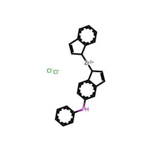 C1=C[CH]([Zr+2][CH]2C=Cc3cc(Pc4ccccc4)ccc32)c2ccccc21.[Cl-].[Cl-]